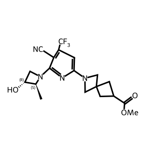 COC(=O)C1CC2(C1)CN(c1cc(C(F)(F)F)c(C#N)c(N3C[C@@H](O)[C@@H]3C)n1)C2